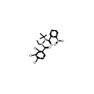 CCN(C(=O)c1ccc(Cl)c(Cl)c1Cl)N(C(=O)c1ccccc1[N+](=O)[O-])C(C)(C)C